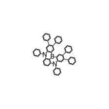 c1ccc(-c2cc3c(cc2-c2ccccc2)N(c2ccccc2)c2cccc4c2B3c2cc(-c3ccccc3)c(-c3ccccc3)cc2N4c2ccccc2)cc1